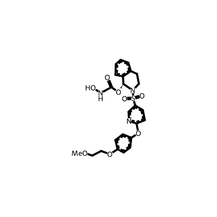 COCCOc1ccc(Oc2ccc(S(=O)(=O)N3CCc4ccccc4[C@H]3OC(=O)NO)cn2)cc1